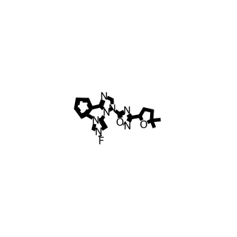 CC1(C)CCC(c2noc(N3CN=C4c5ccccc5N5CN(F)C=C5N43)n2)O1